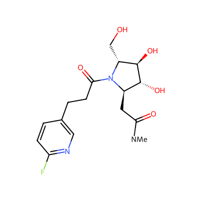 CNC(=O)C[C@@H]1[C@@H](O)[C@H](O)[C@@H](CO)N1C(=O)CCc1ccc(F)nc1